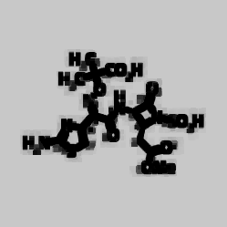 COC(=O)C[C@H]1[C@@H](NC(=O)C(=NOC(C)(C)C(=O)O)c2csc(N)n2)C(=O)N1S(=O)(=O)O